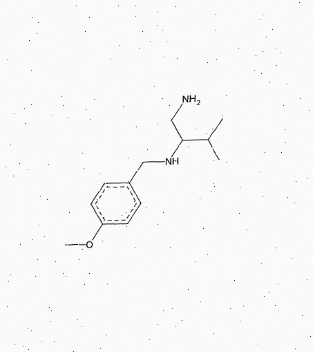 COc1ccc(CNC(CN)C(C)C)cc1